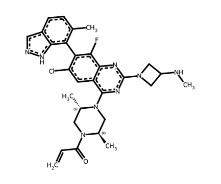 C=CC(=O)N1C[C@H](C)N(c2nc(N3CC(NC)C3)nc3c(F)c(-c4c(C)ccc5cn[nH]c45)c(Cl)cc23)C[C@H]1C